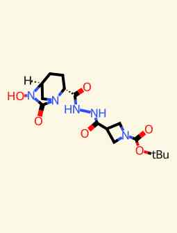 CC(C)(C)OC(=O)N1CC(C(=O)NNC(=O)[C@H]2CC[C@H]3CN2C(=O)N3O)C1